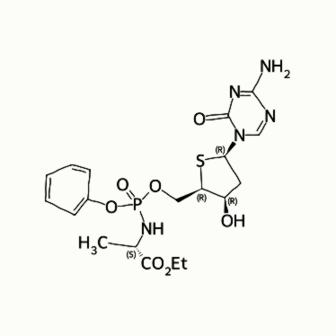 CCOC(=O)[C@H](C)NP(=O)(OC[C@H]1S[C@@H](n2cnc(N)nc2=O)C[C@H]1O)Oc1ccccc1